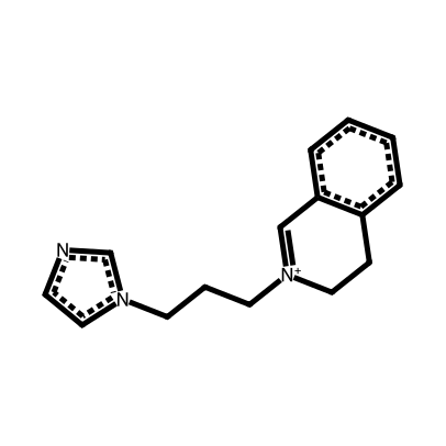 C1=[N+](CCCn2ccnc2)CCc2ccccc21